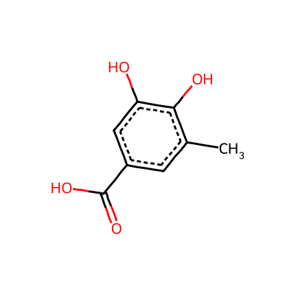 Cc1cc(C(=O)O)cc(O)c1O